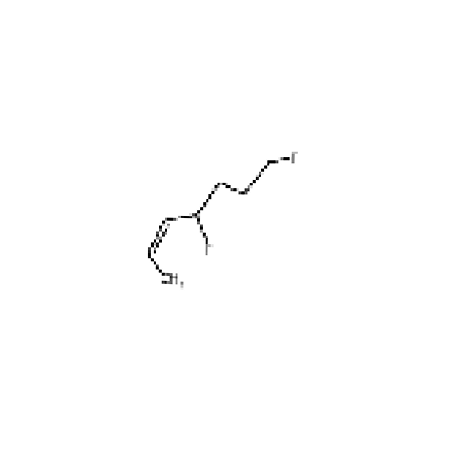 C/C=C\C(F)CCCF